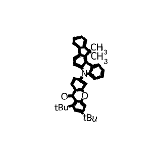 CC(C)(C)c1cc(C(C)(C)C)c2c(=O)c3ccc(-n4c5ccccc5c5c6c(ccc54)-c4ccccc4C6(C)C)cc3oc2c1